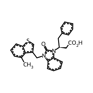 Cc1cccc2scc(Cn3c(=O)n([C@H](CC(=O)O)Cc4ccccc4)c4ccccc43)c12